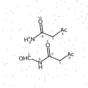 CC(=O)CC(=O)NC=O.CC(=O)CC(N)=O